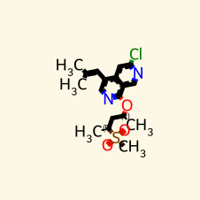 CC(C)=Cc1cnc(O[C@H](C)C[C@@H](C)S(C)(=O)=O)c2cnc(Cl)cc12